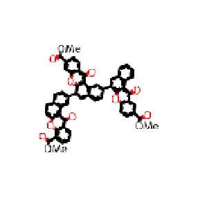 COC(=O)c1ccc2c(=O)c3c(oc2c1)c(-c1ccc2ccc4oc5c(C(=O)OC)cccc5c(=O)c4c2c1)cc1ccc(-c2cc4ccccc4c4c(=O)c5cc(C(=O)OC)ccc5oc24)cc13